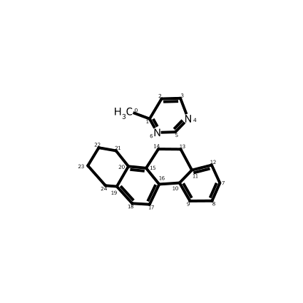 Cc1ccncn1.c1ccc2c(c1)CCc1c-2ccc2c1CCCC2